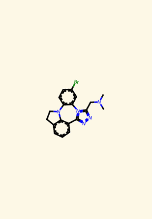 CN(C)Cc1nnc2n1-c1cc(Br)ccc1N1CCc3cccc-2c31